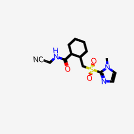 Cn1ccnc1S(=O)(=O)CC1CCCCC1C(=O)NCC#N